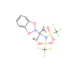 CC(C)(N1Oc2ccccc2O1)N(S(=O)(=O)C(F)(F)F)S(=O)(=O)C(F)(F)F